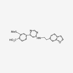 CSc1cc(-c2cc(NCCc3ccc4ccoc4c3)ncn2)ccc1C(=O)O